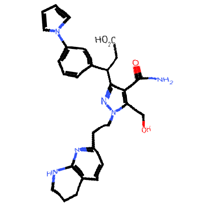 NC(=O)c1c(C(CC(=O)O)c2cccc(-n3cccc3)c2)nn(CCc2ccc3c(n2)NCCC3)c1CO